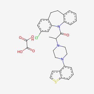 CC(C(=O)N1c2ccccc2CCc2ccc(Cl)cc21)N1CCN(c2cccc3sccc23)CC1.O=C(O)C(=O)O